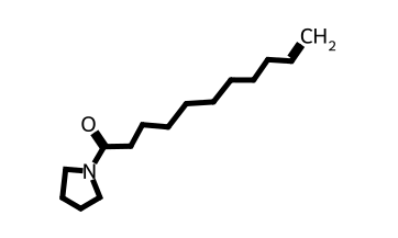 C=CCCCCCCCCC(=O)N1CCCC1